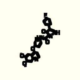 COc1cc2nccc(Oc3ccc(NC(=O)c4n[nH]cc(-c5ccc(F)cc5)c4=O)nc3)c2cc1OC